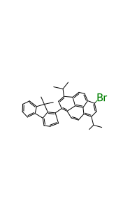 CC(C)c1cc(Br)c2ccc3c(C(C)C)cc(-c4cccc5c4C(C)(C)c4ccccc4-5)c4ccc1c2c43